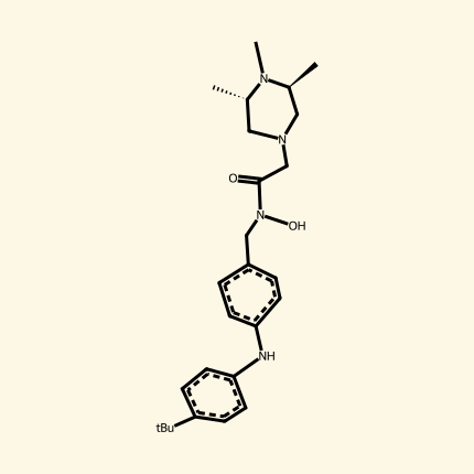 C[C@H]1CN(CC(=O)N(O)Cc2ccc(Nc3ccc(C(C)(C)C)cc3)cc2)C[C@H](C)N1C